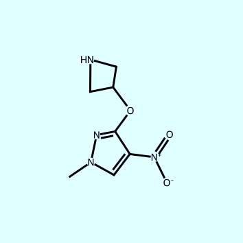 Cn1cc([N+](=O)[O-])c(OC2CNC2)n1